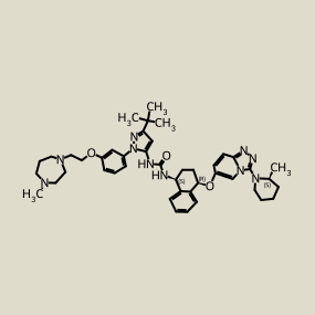 C[C@H]1CCCCN1c1nnc2ccc(O[C@@H]3CC[C@H](NC(=O)Nc4cc(C(C)(C)C)nn4-c4cccc(OCCN5CCCN(C)CC5)c4)c4ccccc43)cn12